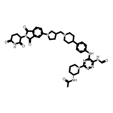 CC(=O)N[C@@H]1CCCN(c2nnc(NC=O)c(Nc3ccc(C4CCN(CC5CCN(c6ccc7c(c6)C(=O)N(C6CCC(=O)NC6=O)C7=O)C5)CC4)cc3)n2)C1